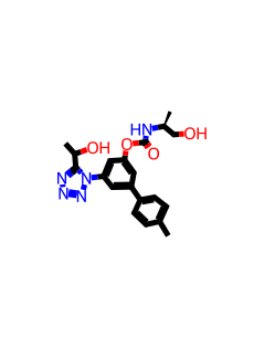 Cc1ccc(-c2cc(OC(=O)N[C@@H](C)CO)cc(-n3nnnc3C(C)O)c2)cc1